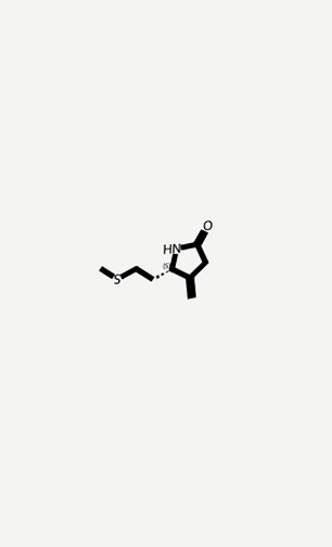 C=C1CC(=O)N[C@H]1CCSC